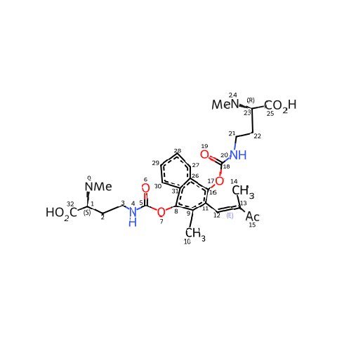 CN[C@@H](CCNC(=O)Oc1c(C)c(/C=C(\C)C(C)=O)c(OC(=O)NCC[C@@H](NC)C(=O)O)c2ccccc12)C(=O)O